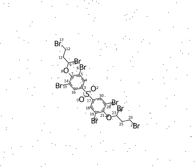 O=S(=O)(c1cc(Br)c(OC(Br)CCBr)c(Br)c1)c1cc(Br)c(OC(Br)CCBr)c(Br)c1